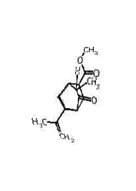 C=C(C)C1CC2C(C(=O)OC)CC1C(=O)[C@H]2C